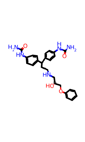 NC(=O)Nc1ccc(C(CCNC[C@H](O)COc2ccccc2)c2ccc(NC(N)=O)cc2)cc1